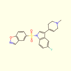 CN1CC=C(c2cn(S(=O)(=O)c3ccc4oncc4c3)c3ccc(F)cc23)CC1